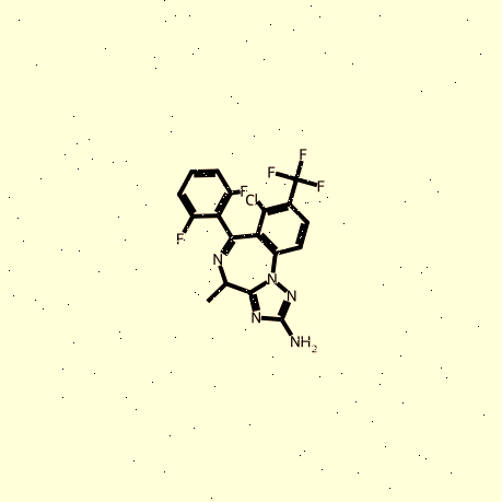 CC1N=C(c2c(F)cccc2F)c2c(ccc(C(F)(F)F)c2Cl)-n2nc(N)nc21